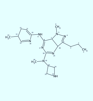 CCCC1=NN(C)C2C(NC3=CCC(C)C=N3)=NC(N(C)C3CNC3)=NC12